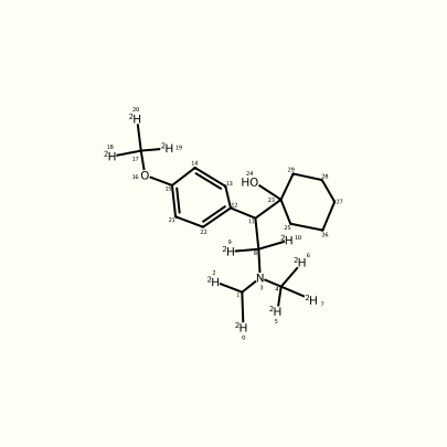 [2H]C([2H])N(C([2H])([2H])[2H])C([2H])([2H])C(c1ccc(OC([2H])([2H])[2H])cc1)C1(O)CCCCC1